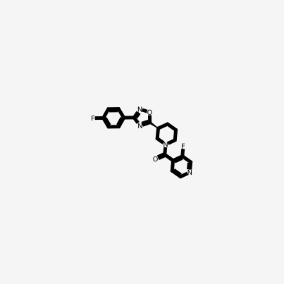 O=C(c1ccncc1F)N1CCC[C@H](c2nc(-c3ccc(F)cc3)no2)C1